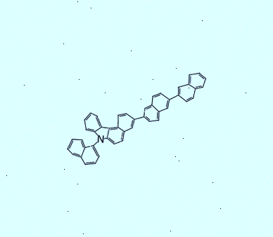 c1ccc2cc(-c3ccc4cc(-c5ccc6c(ccc7c6c6ccccc6n7-c6cccc7ccccc67)c5)ccc4c3)ccc2c1